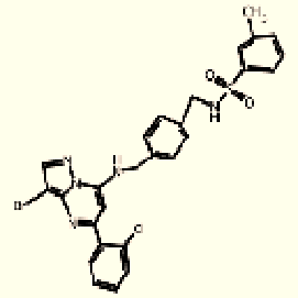 Cc1cccc(S(=O)(=O)NCc2ccc(CNc3cc(-c4ccccc4Cl)nc4c(Br)cnn34)cc2)c1